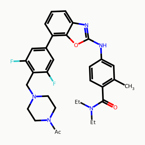 CCN(CC)C(=O)c1ccc(Nc2nc3cccc(-c4cc(F)c(CN5CCN(C(C)=O)CC5)c(F)c4)c3o2)cc1C